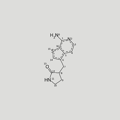 Nc1nccc2c(C[C]3CCNC3=O)csc12